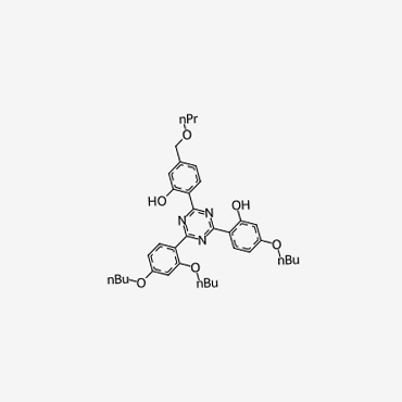 CCCCOc1ccc(-c2nc(-c3ccc(COCCC)cc3O)nc(-c3ccc(OCCCC)cc3OCCCC)n2)c(O)c1